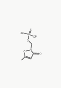 Cc1cc(=O)n(CSP(O)(O)=S)o1